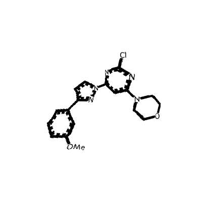 COc1cccc(-c2ccn(-c3cc(N4CCOCC4)nc(Cl)n3)n2)c1